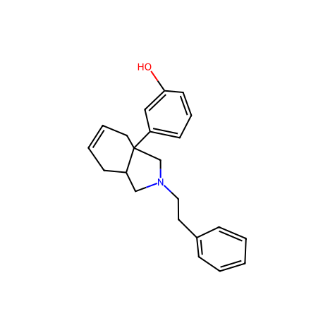 Oc1cccc(C23CC=CCC2CN(CCc2ccccc2)C3)c1